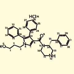 COCCCn1cc(C(=O)N2CCNC[C@H]2Cc2ccccc2)c(-c2ccccc2)c1-c1ccccc1.Cl